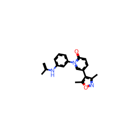 C=C(C)Nc1cccc(-n2cc(-c3c(C)noc3C)ccc2=O)c1